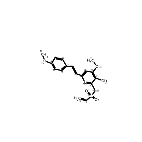 C=CS(=O)(=O)Nc1nc(/C=C/c2ccc(OC)cc2)cc(OC)c1O